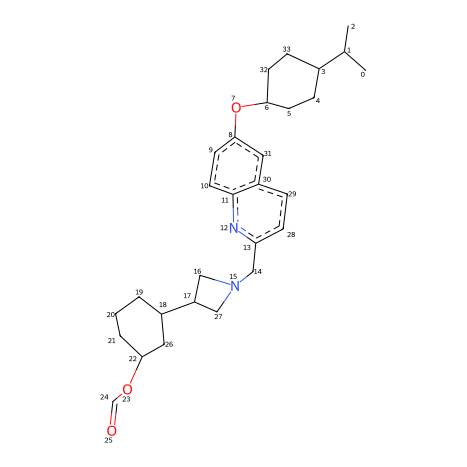 CC(C)C1CCC(Oc2ccc3nc(CN4CC(C5CCCC(OC=O)C5)C4)ccc3c2)CC1